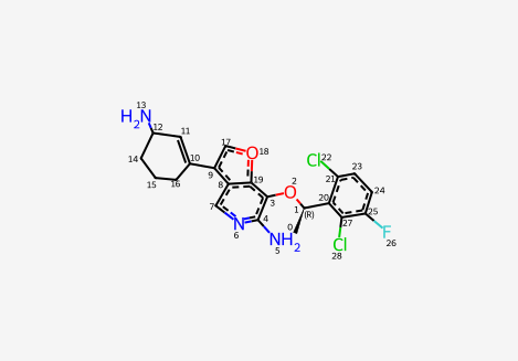 C[C@@H](Oc1c(N)ncc2c(C3=CC(N)CCC3)coc12)c1c(Cl)ccc(F)c1Cl